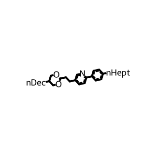 CCCCCCCCCCC1COC(CCc2ccc(-c3ccc(CCCCCCC)cc3)nc2)OC1